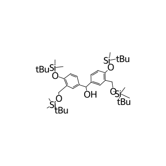 CC(C)(C)[Si](C)(C)OCc1cc(C(O)c2ccc(O[Si](C)(C)C(C)(C)C)c(CO[Si](C)(C)C(C)(C)C)c2)ccc1O[Si](C)(C)C(C)(C)C